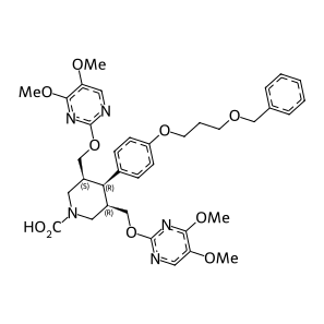 COc1cnc(OC[C@@H]2CN(C(=O)O)C[C@H](COc3ncc(OC)c(OC)n3)[C@@H]2c2ccc(OCCCOCc3ccccc3)cc2)nc1OC